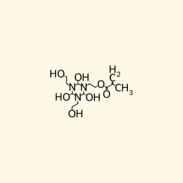 C=C(C)C(=O)OCCN1C(O)N(CCO)C(O)N(CCO)C1O